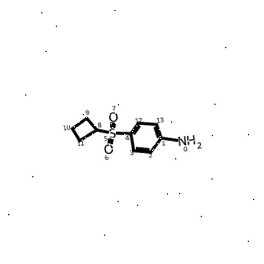 Nc1ccc(S(=O)(=O)C2CCC2)cc1